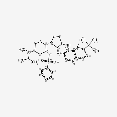 CC(C)N(C)[C@@H]1CC[C@H](N2CC[C@H](Nc3ncnc4cnc(C(C)(C)C)nc34)C2=O)[C@H](CS(=O)(=O)c2ccccc2)C1